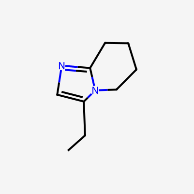 CCc1cnc2n1CCCC2